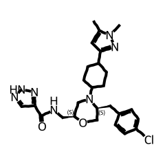 Cc1cc(C2CCC(N3C[C@H](CNC(=O)c4cn[nH]n4)OC[C@@H]3Cc3ccc(Cl)cc3)CC2)nn1C